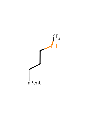 CCCCCCCCPC(F)(F)F